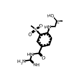 C[C@H](O)CNc1ccc(C(=O)NC(=N)N)cc1S(C)(=O)=O